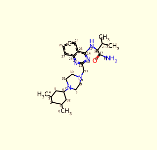 CC1CC(C)CC(N2CCN(Cc3nc(N[C@H](C(N)=O)C(C)C)c4ccccc4n3)CC2)C1